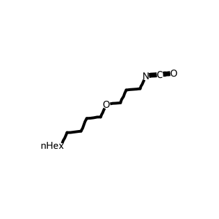 CCCCCCCCCCOCCCN=C=O